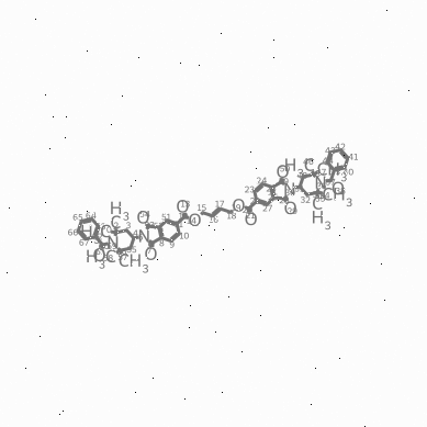 CC1(C)CC(N2C(=O)c3ccc(C(=O)OCC=CCOC(=O)c4ccc5c(c4)C(=O)N(C4CC(C)(C)N(C(=O)c6ccccc6)C(C)(C)C4)C5=O)cc3C2=O)CC(C)(C)N1C(=O)c1ccccc1